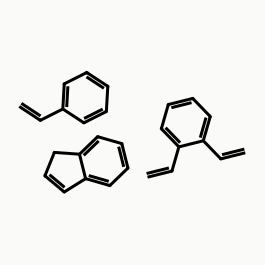 C1=Cc2ccccc2C1.C=Cc1ccccc1.C=Cc1ccccc1C=C